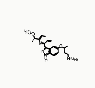 C=C/C(=N\C(=C/C)[C@@H](C)OO)c1n[nH]c2ccc(OC(C)CCNC)cc12